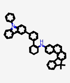 CC1(C)c2ccccc2-c2c1ccc1ccc3cc(NC4=C(c5cccc(-c6ccc7c(c6)c6ccccc6n7-c6ccccc6)c5)C=CCC4)ccc3c21